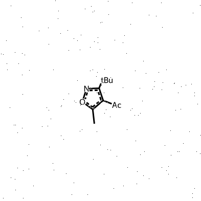 CC(=O)c1c(C(C)(C)C)noc1C